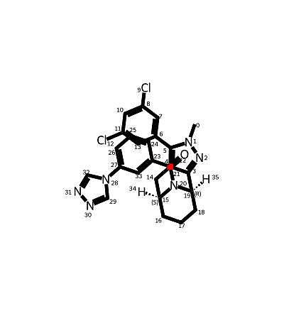 Cn1nc2c(c1-c1cc(Cl)cc(Cl)c1)C[C@@H]1CCC[C@H]2N1C(=O)c1cccc(-n2cnnc2)c1